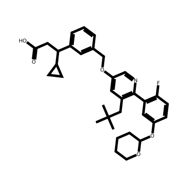 CC(C)(C)Cc1cc(OCc2cccc(C(CC(=O)O)C3CC3)c2)cnc1-c1cc(OC2CCCCO2)ccc1F